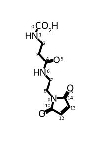 O=C(O)NCCC(=O)NCCN1C(=O)C=CC1=O